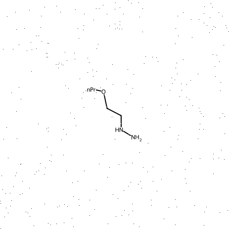 CCCOCCNN